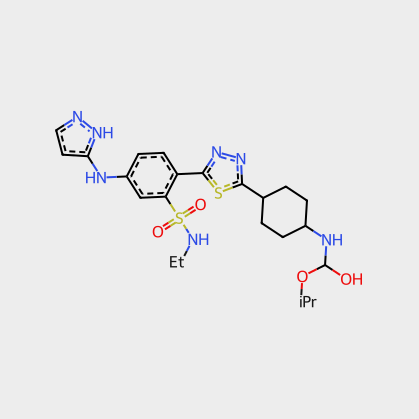 CCNS(=O)(=O)c1cc(Nc2ccn[nH]2)ccc1-c1nnc(C2CCC(NC(O)OC(C)C)CC2)s1